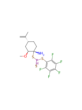 C=C(C)[C@@H]1CC[C@](N)(S[PH](=S)Sc2c(F)c(F)c(F)c(F)c2F)[C@@H](OC)C1